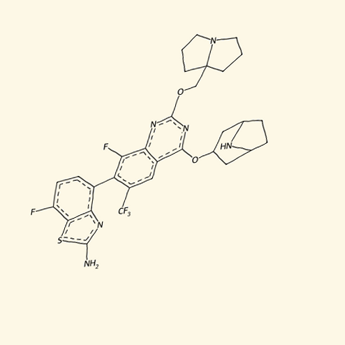 Nc1nc2c(-c3c(C(F)(F)F)cc4c(OC5CC6CCC(C5)N6)nc(OCC56CCCN5CCC6)nc4c3F)ccc(F)c2s1